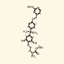 CSc1nccc(COc2ccc(C(C)(C)c3cc(Cl)c(OCCN(C)C(=O)OC(C)(C)C)c(C#N)c3)cc2)n1